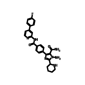 NC(=O)c1c(-c2ccc(C(=O)Nc3cc(-c4ccc(F)cc4)ccn3)cc2)nc(C2CCCCN2)n1N